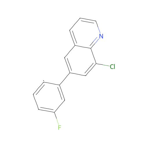 Fc1cc[c]c(-c2cc(Cl)c3ncccc3c2)c1